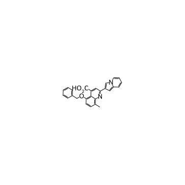 Cc1ccc(OCc2ccccc2)c2c(C(=O)O)cc(-c3cc4ccccn4c3)nc12